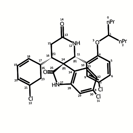 CCCC(CCC)Oc1ccc(Cl)cc1[C@H]1NC(=O)C[C@@H](C2C=CC=C(Cl)C2)[C@]12C(=O)Nc1cc(Cl)ccc12